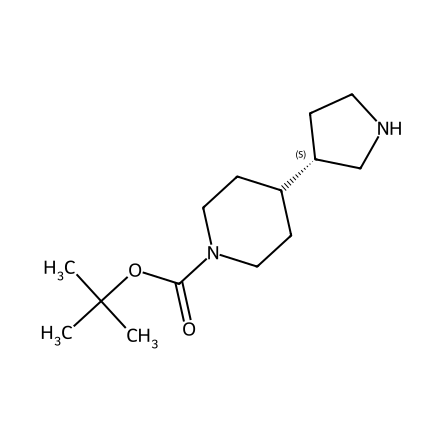 CC(C)(C)OC(=O)N1CCC([C@@H]2CCNC2)CC1